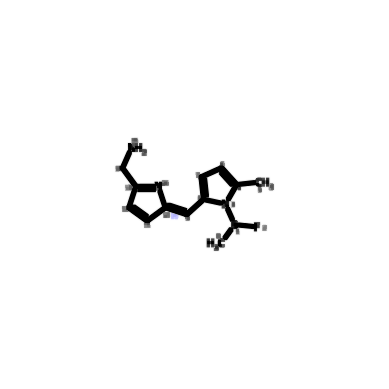 CB(F)n1c(C)ccc1/C=C1/C=CC(CN)=N1